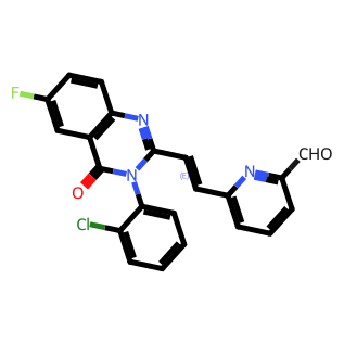 O=Cc1cccc(/C=C/c2nc3ccc(F)cc3c(=O)n2-c2ccccc2Cl)n1